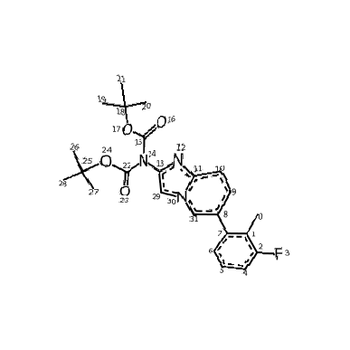 Cc1c(F)cccc1-c1ccc2nc(N(C(=O)OC(C)(C)C)C(=O)OC(C)(C)C)cn2c1